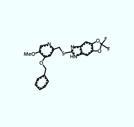 COc1cnc(CSc2nc3cc4c(cc3[nH]2)OC(F)(F)O4)cc1OCc1ccccc1